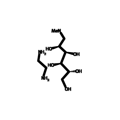 CNC[C@H](O)[C@@H](O)[C@H](O)[C@H](O)CO.NCCN